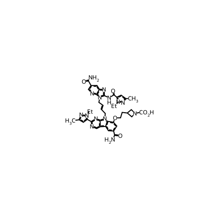 CCn1nc(C)cc1C(=O)Nc1nc2cc(C(N)=O)cnc2n1CC=CCn1c2nc(-c3cc(C)nn3CC)ncc2c2cc(C(N)=O)cc(OCCC3CN(C(=O)O)C3)c21